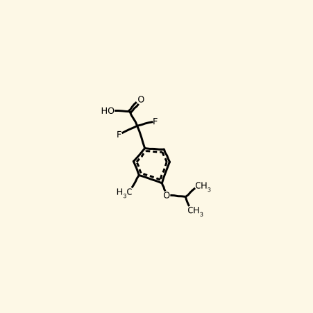 Cc1cc(C(F)(F)C(=O)O)ccc1OC(C)C